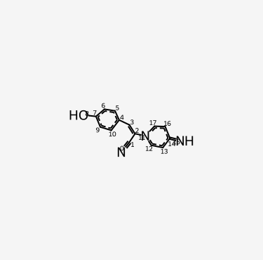 N#C/C(=C\c1ccc(O)cc1)n1ccc(=N)cc1